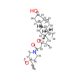 C#CC1(OC)CCN(C(=O)CC(=O)[C@H](C)[C@H]2CC[C@H]3[C@@H]4CC=C5C[C@@H](O)CC[C@]5(C)[C@H]4CC[C@@]23C)CC1